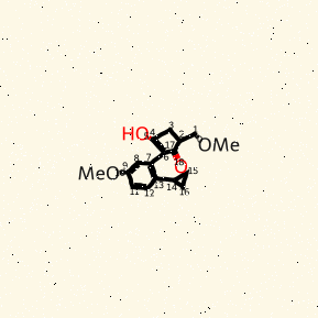 COCC1CC(O)=C(c2cc(OC)ccc2C2CC2)C1=O